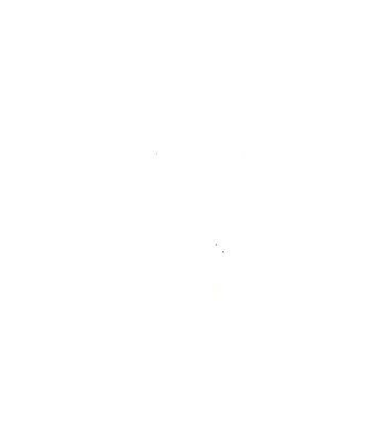 O=C1OCCC1=NO